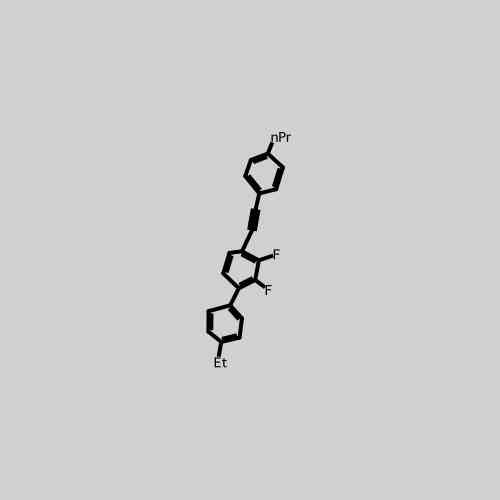 CCCc1ccc(C#Cc2ccc(-c3ccc(CC)cc3)c(F)c2F)cc1